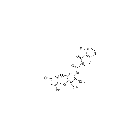 Cc1cc(NC(=O)NC(=O)c2c(F)cccc2F)c(C)c(C)c1Oc1ccc(Cl)cc1Br